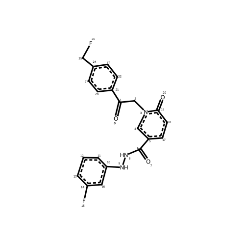 O=C(Cn1cc(C(=O)NNc2cccc(F)c2)ccc1=O)c1ccc(CF)cc1